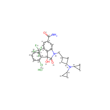 Cl.NC(=O)c1cc2c(c(C(F)(F)F)c1)C(O)(c1c(F)cccc1Cl)C(=O)N2CC1CC(N(C2CC2)C2CC2)C1